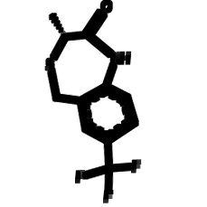 C[C@H]1SCc2cc(C(F)(F)F)ccc2NC1=O